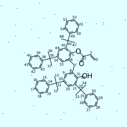 C=CC(=O)Oc1c(Cc2cc(C(C)(C)c3ccccc3)cc(C(C)(C)c3ccccc3)c2O)cc(C(C)(C)c2ccccc2)cc1C(C)(C)c1ccccc1